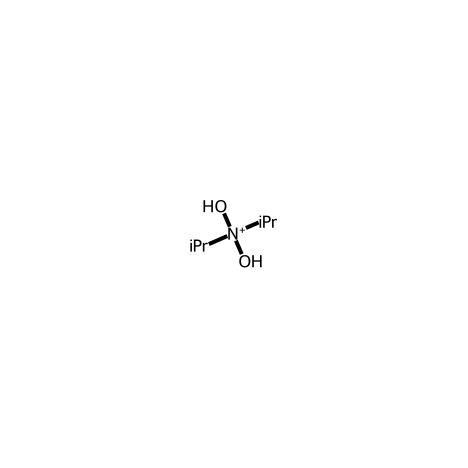 CC(C)[N+](O)(O)C(C)C